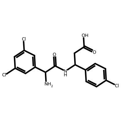 NC(C(=O)NC(CC(=O)O)c1ccc(Cl)cc1)c1cc(Cl)cc(Cl)c1